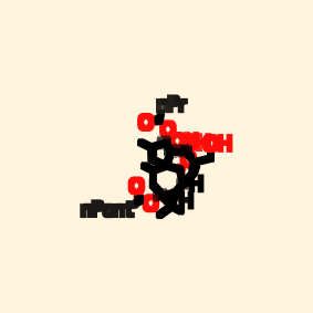 CCCCCC(=O)O[C@@]12CC(C)C34C=C(C)[C@H](OC(=O)CCC)[C@@]3(O)[C@H](O)C(CO)=C[C@H](C4=O)[C@@H]1C2(C)C